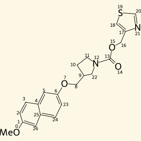 COc1ccc2cc(OCC3CCN(C(=O)OCc4cscn4)C3)ccc2c1